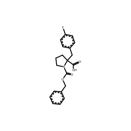 O=C(OCc1ccccc1)N1CCCC1(Cc1ccc(F)cc1)C(=O)O